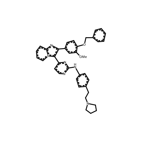 COc1cc(-c2nc3ccccn3c2-c2ccnc(Nc3ccc(CCN4CCCC4)cc3)n2)ccc1OCc1ccccc1